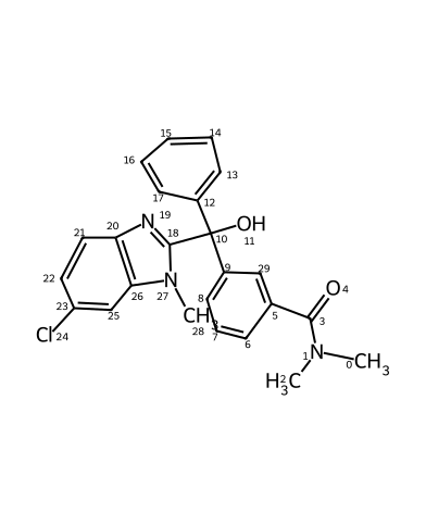 CN(C)C(=O)c1cccc(C(O)(c2ccccc2)c2nc3ccc(Cl)cc3n2C)c1